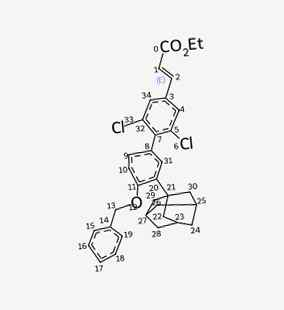 CCOC(=O)/C=C/c1cc(Cl)c(-c2ccc(OCc3ccccc3)c(C34CC5CC(CC(C5)C3)C4)c2)c(Cl)c1